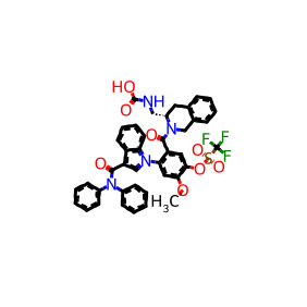 COc1cc(-n2cc(C(=O)N(c3ccccc3)c3ccccc3)c3ccccc32)c(C(=O)N2Cc3ccccc3C[C@H]2CNC(=O)O)cc1OS(=O)(=O)C(F)(F)F